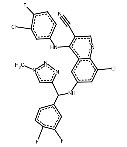 Cn1cc(C(Nc2cc(Cl)c3ncc(C#N)c(Nc4ccc(F)c(Cl)c4)c3c2)c2ccc(F)c(F)c2)nn1